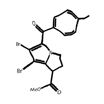 COC(=O)C1CCn2c(C(=O)c3ccc(C)cc3)c(Br)c(Br)c21